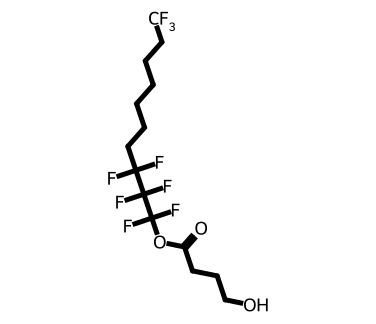 O=C(CCCO)OC(F)(F)C(F)(F)C(F)(F)CCCCCCC(F)(F)F